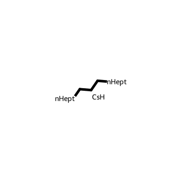 CCCCCCCCCCCCCCCCC.[CsH]